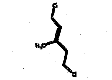 C/C(=C\CCl)CCCl